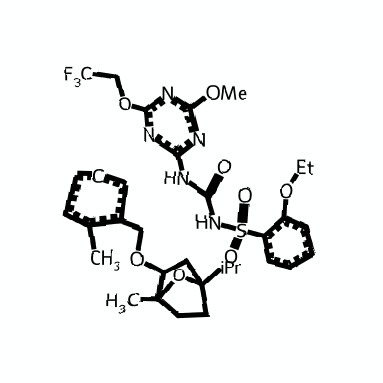 CCOc1ccccc1S(=O)(=O)NC(=O)Nc1nc(OC)nc(OCC(F)(F)F)n1.Cc1ccccc1COC1CC2(C(C)C)CCC1(C)O2